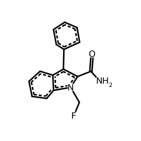 NC(=O)c1c(-c2ccccc2)c2ccccc2n1CF